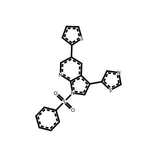 O=S(=O)(c1ccccc1)n1cc(-c2cncs2)c2cc(-c3cccs3)cnc21